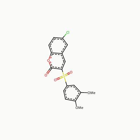 COc1ccc(S(=O)(=O)c2cc3cc(Cl)ccc3oc2=O)cc1OC